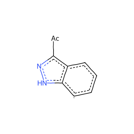 CC(=O)c1n[nH]c2[c]cccc12